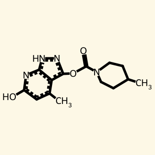 Cc1cc(O)nc2[nH]nc(OC(=O)N3CCC(C)CC3)c12